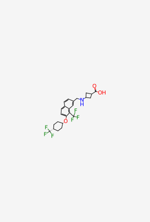 O=C(O)C1CC(NCc2ccc3ccc(O[C@H]4CC[C@@H](C(F)(F)F)CC4)c(C(F)(F)F)c3c2)C1